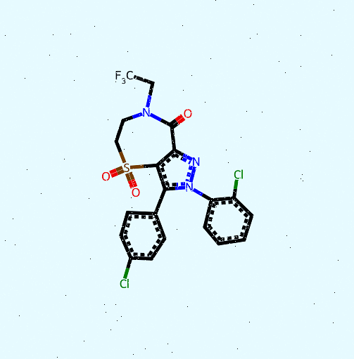 O=C1c2nn(-c3ccccc3Cl)c(-c3ccc(Cl)cc3)c2S(=O)(=O)CCN1CC(F)(F)F